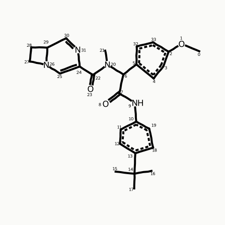 COc1ccc(C(C(=O)Nc2ccc(C(C)(C)C)cc2)N(C)C(=O)C2=CN3CCC3C=N2)cc1